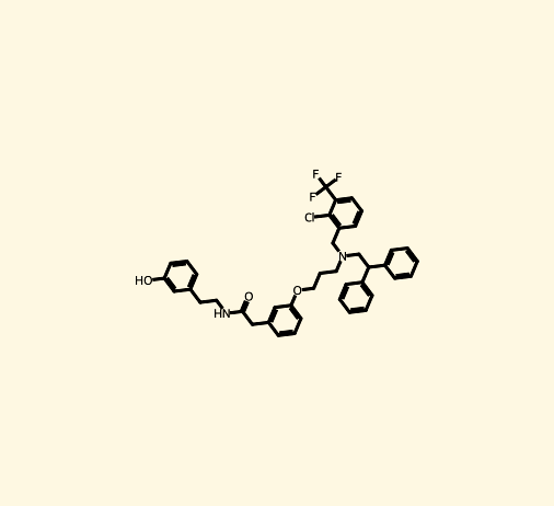 O=C(Cc1cccc(OCCCN(Cc2cccc(C(F)(F)F)c2Cl)CC(c2ccccc2)c2ccccc2)c1)NCCc1cccc(O)c1